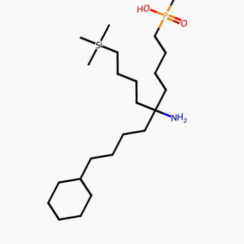 CCP(=O)(O)CCCCC(N)(CCCCC1CCCCC1)CCCC[Si](C)(C)C